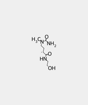 CN(CC[CH]C(=O)NCCO)C(N)=O